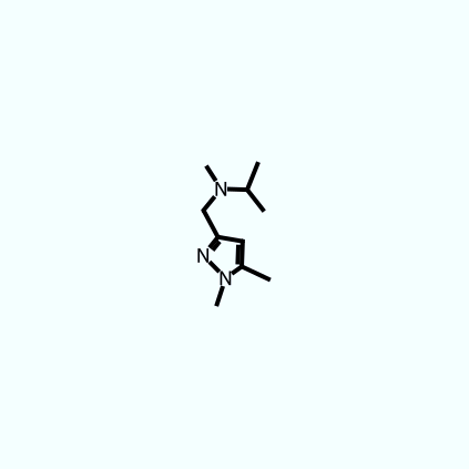 Cc1cc(CN(C)C(C)C)nn1C